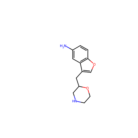 Nc1ccc2occ(CC3CNCCO3)c2c1